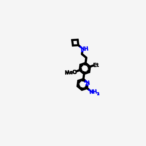 CCc1cc(-c2cccc(N)n2)c(OC)cc1CCNC1CCC1